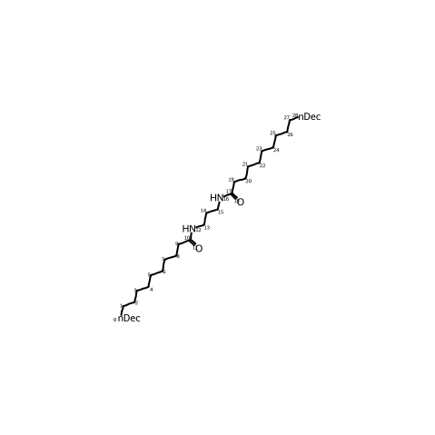 CCCCCCCCCCCCCCCCCCCC(=O)NCCCNC(=O)CCCCCCCCCCCCCCCCCCC